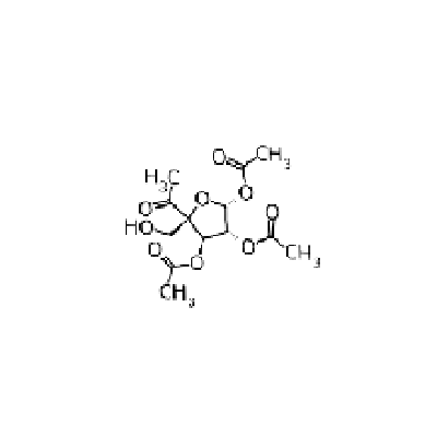 CC(=O)O[C@H]1O[C@@](CO)(C(C)=O)[C@H](OC(C)=O)[C@H]1OC(C)=O